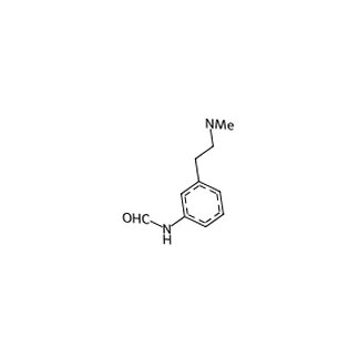 CNCCc1cccc(NC=O)c1